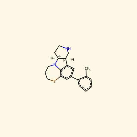 FC(F)(F)c1ccccc1-c1cc2c3c(c1)[C@@H]1CNCC[C@@H]1N3CCCS2